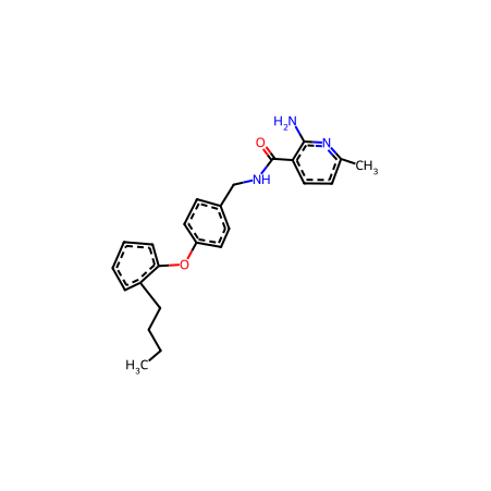 CCCCc1ccccc1Oc1ccc(CNC(=O)c2ccc(C)nc2N)cc1